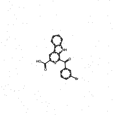 O=C(O)c1cc2c([nH]c3ccccc32)c(C(=O)c2cccc(Br)c2)n1